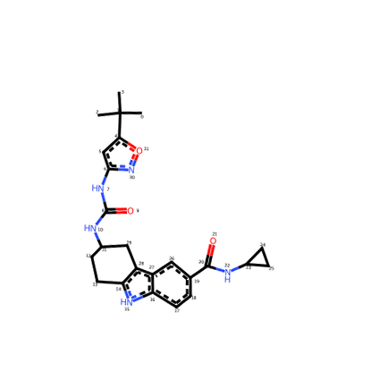 CC(C)(C)c1cc(NC(=O)NC2CCc3[nH]c4ccc(C(=O)NC5CC5)cc4c3C2)no1